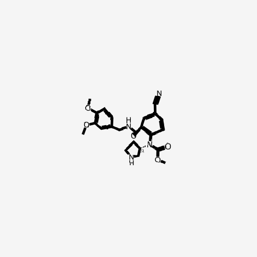 COC(=O)N(c1ccc(C#N)cc1C(=O)NCc1ccc(OC)c(OC)c1)[C@H]1CCNC1